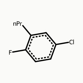 CCCc1cc(Cl)ccc1F